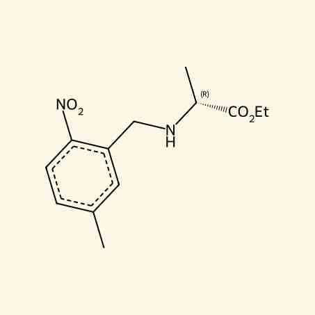 CCOC(=O)[C@@H](C)NCc1cc(C)ccc1[N+](=O)[O-]